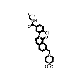 CCNC(=O)c1ccc(C)c(-n2cnc3ccc(CN4CCS(=O)(=O)CC4)cc3c2=O)c1